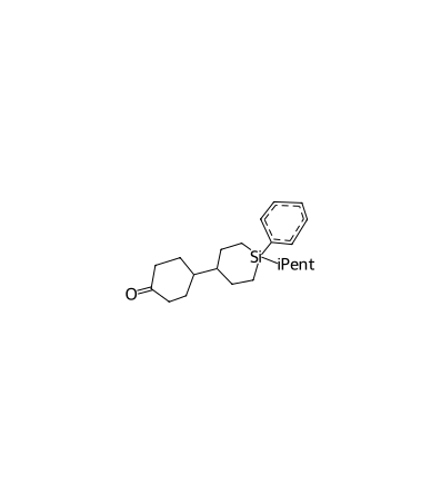 CCCC(C)[Si]1(c2ccccc2)CCC(C2CCC(=O)CC2)CC1